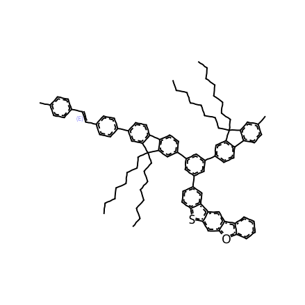 CCCCCCCCC1(CCCCCCCC)c2cc(C)ccc2-c2ccc(-c3cc(-c4ccc5c(c4)C(CCCCCCCC)(CCCCCCCC)c4cc(-c6ccc(/C=C/c7ccc(C)cc7)cc6)ccc4-5)cc(-c4ccc5sc6cc7oc8ccccc8c7cc6c5c4)c3)cc21